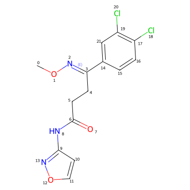 CO/N=C(\CCC(=O)Nc1ccon1)c1ccc(Cl)c(Cl)c1